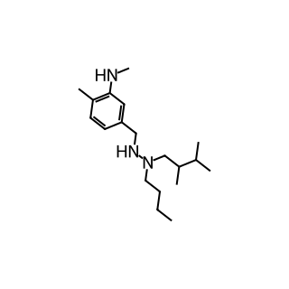 CCCCN(CC(C)C(C)C)NCc1ccc(C)c(NC)c1